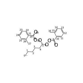 [CH2]CCCC[C](OOC(=O)c1ccccc1C)OOC(=O)c1ccccc1C